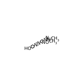 CCC(C)n1ncn(-c2ccc(N3CCN(c4ccc(O)cc4)CC3)cn2)c1=O